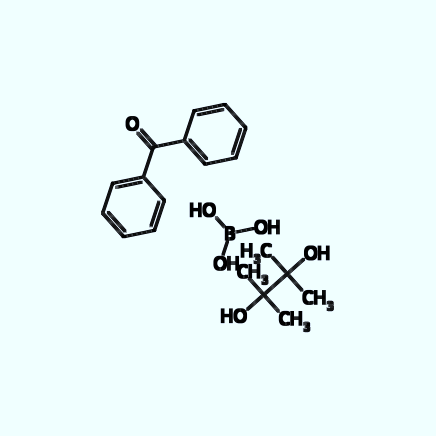 CC(C)(O)C(C)(C)O.O=C(c1ccccc1)c1ccccc1.OB(O)O